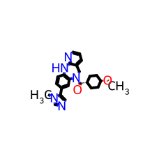 CO[C@H]1CC[C@H](C(=O)N2Cc3cccnc3Nc3ccc(-c4cncn4C)cc32)CC1